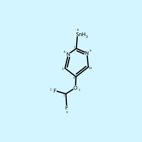 FC(F)Oc1cn[c]([SnH3])nc1